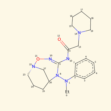 CCN(c1ccccc1)N1C([N]C(=O)CN2CCCCC2)=NO[N@@]2CCCC1C2